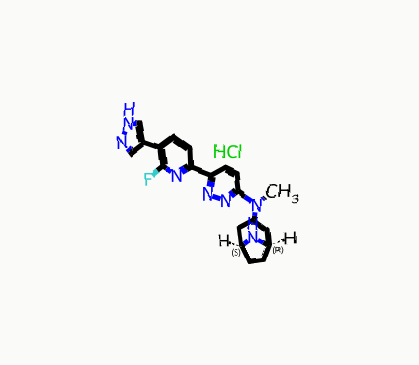 CN(c1ccc(-c2ccc(-c3cn[nH]c3)c(F)n2)nn1)C1C[C@H]2CC[C@@H](C1)N2.Cl